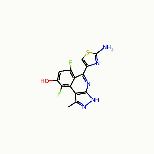 Cc1n[nH]c2nc(-c3csc(N)n3)c3c(F)cc(O)c(F)c3c12